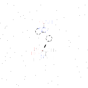 C[C@@H]1[C@H](C)N(C)C(O)[C@@]1(O)C#Cc1cccc(-c2nc(C(N)=O)n3ccccc23)c1